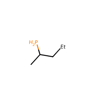 [CH2]CCC(C)P